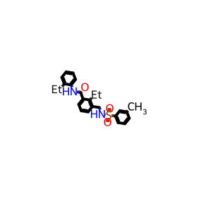 CCc1ccccc1NC(=O)c1cccc(CNS(=O)(=O)c2cccc(C)c2)c1CC